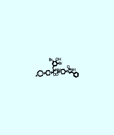 CN1CCCN(C2CCN(C(=O)[C@@H](Cc3cc(Br)c(O)c(Br)c3)NC(=O)N3CCC(n4cc(-c5ccccc5)[nH]c4=O)CC3)CC2)CC1